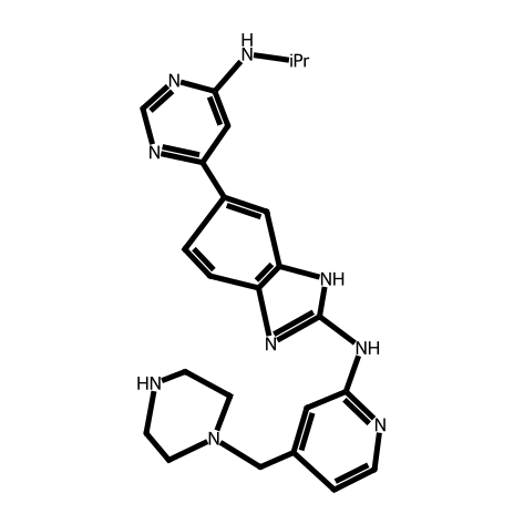 CC(C)Nc1cc(-c2ccc3nc(Nc4cc(CN5CCNCC5)ccn4)[nH]c3c2)ncn1